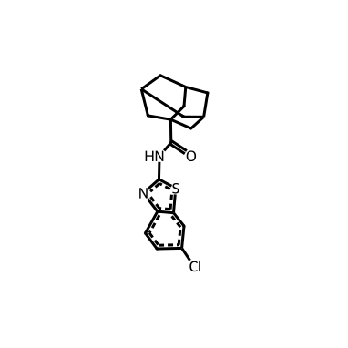 O=C(Nc1nc2ccc(Cl)cc2s1)C12CC3CC(CC(C3)C1)C2